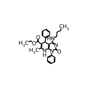 CCCCNc1nc(=O)n(-c2ccccc2)c2c1C(c1ccccc1)C(C(=O)OCC)=C(C)N2